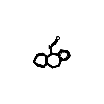 O=C=NC1C2=C(C=CCC=C2)CCc2ccccc21